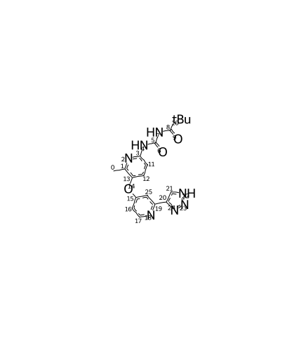 Cc1nc(NC(=O)NC(=O)C(C)(C)C)ccc1Oc1ccnc(-c2c[nH]nn2)c1